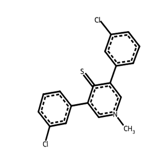 Cn1cc(-c2cccc(Cl)c2)c(=S)c(-c2cccc(Cl)c2)c1